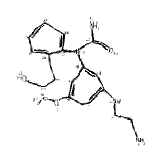 NCCNc1cc(OC(F)(F)F)cc(N(C(N)=O)c2ccccc2CCO)c1